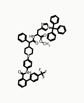 COC(=O)C(Cc1cn(C(c2ccccc2)(c2ccccc2)c2ccccc2)cn1)NC(=O)C(c1ccccc1)C1CCN(c2ccc(NC(=O)c3ccccc3-c3ccc(C(F)(F)F)cc3)cc2)CC1